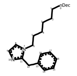 CCCCCCCCCCCCCCCCn1ccnc1Cc1ccccc1